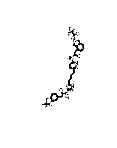 O=C(Cc1cccc2c1CN(OC(=O)C(F)(F)F)C2)Nc1ccc(CCCCc2nnc(NC(=O)Cc3cccc(OC(F)(F)F)c3)s2)nn1